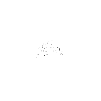 CNC(=O)c1ccc(-c2cc(F)c(Nc3ncc(Cl)c(Nc4ccccc4C(=O)NCCN(C)C)n3)cc2C)cc1